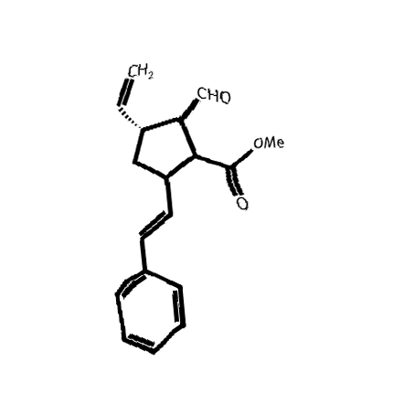 C=C[C@H]1CC(/C=C/c2ccccc2)C(C(=O)OC)C1C=O